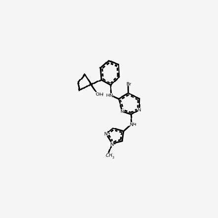 Cn1cc(Nc2ncc(Br)c(Nc3ccccc3C3(O)CCC3)n2)cn1